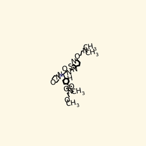 COCCN(C)S(=O)(=O)c1ccc(/C(=N\N2CCOCC2)C(=O)Nc2nc3ccc(OCCN(C)C)nc3s2)cc1